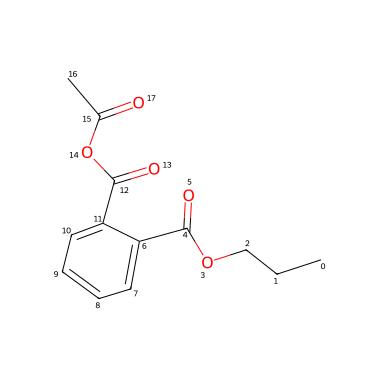 CCCOC(=O)c1ccccc1C(=O)OC(C)=O